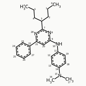 CCCC(CCC)c1nc(Nc2ccc(N(C)C)cc2)cc(-c2ccccc2)n1